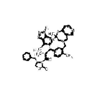 CCn1nnc2c(C)c([C@H](c3ccc(C)c(CN4Cc5cnccc5OC(C)(C)C4)c3)[C@@H](C)C(=O)N3C(=O)OC[C@@H]3Cc3ccccc3)ccc21